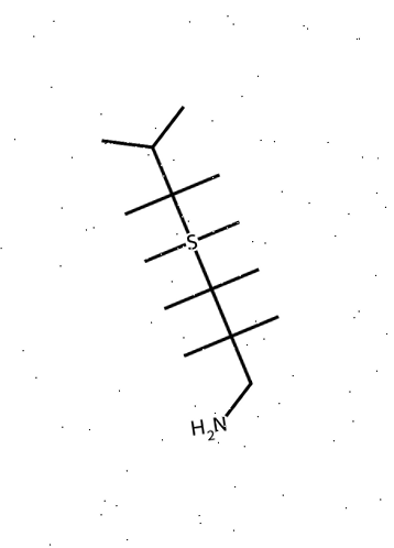 CC(C)C(C)(C)S(C)(C)C(C)(C)C(C)(C)CN